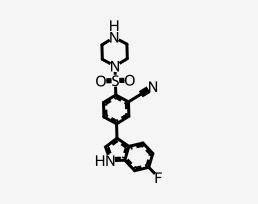 N#Cc1cc(-c2c[nH]c3cc(F)ccc23)ccc1S(=O)(=O)N1CCNCC1